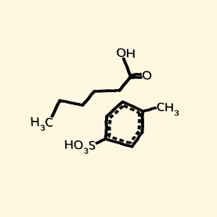 CCCCCC(=O)O.Cc1ccc(S(=O)(=O)O)cc1